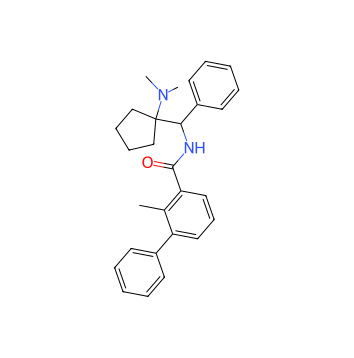 Cc1c(C(=O)NC(c2ccccc2)C2(N(C)C)CCCC2)cccc1-c1ccccc1